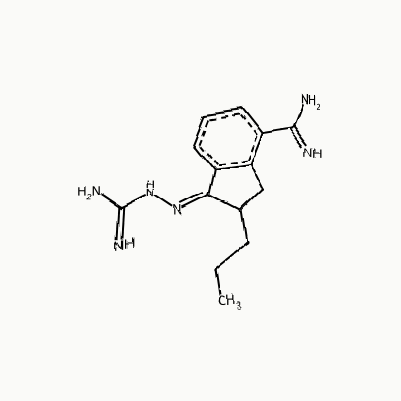 CCCC1Cc2c(C(=N)N)cccc2C1=NNC(=N)N